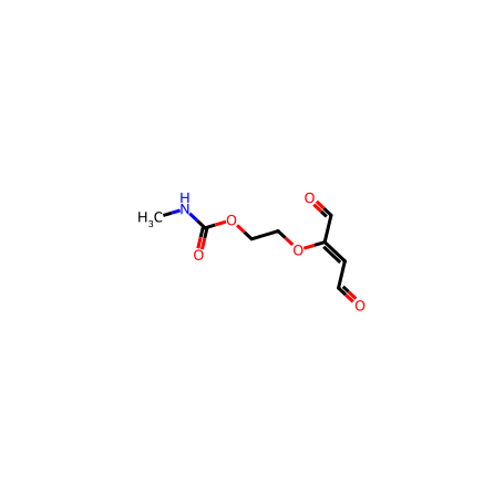 CNC(=O)OCCO/C(C=O)=C\C=O